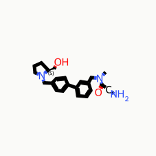 CN(Cc1cccc(-c2ccc(CN3CCC[C@H]3CO)cc2)c1)C(=O)CN